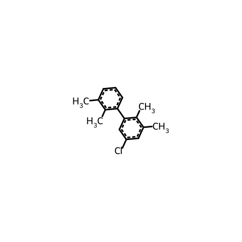 Cc1cccc(-c2cc(Cl)cc(C)c2C)c1C